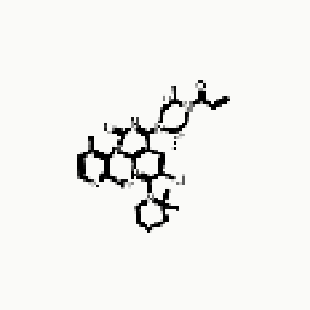 C=CC(=O)N1C[C@H](C)N(c2nc(=O)n(-c3c(C)ccnc3C(C)C)c3nc(N4CCCCC4(C)C)c(Cl)cc23)C[C@H]1C